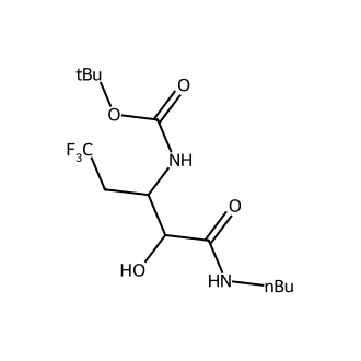 CCCCNC(=O)C(O)C(CC(F)(F)F)NC(=O)OC(C)(C)C